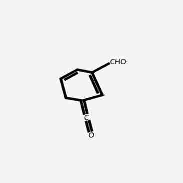 O=[C]C1=[C]C(=C=O)CC=C1